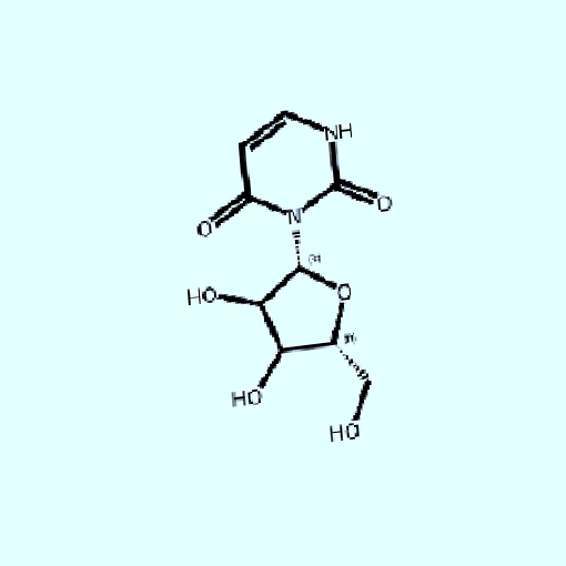 O=c1cc[nH]c(=O)n1[C@@H]1O[C@H](CO)C(O)C1O